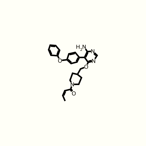 C/C=C\C(=O)N1CCC(COc2ncnc(N)c2-c2ccc(Oc3ccccc3)cc2)CC1